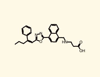 CCCC(=Cc1nnc(-c2ccc(CNCCC(=O)O)c3ccccc23)o1)c1ccccc1